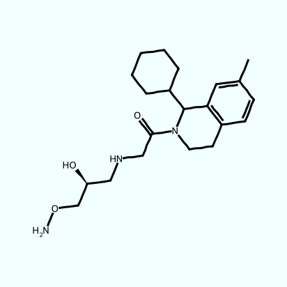 Cc1ccc2c(c1)C(C1CCCCC1)N(C(=O)CNC[C@H](O)CON)CC2